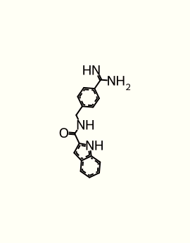 N=C(N)c1ccc(CNC(=O)c2cc3ccccc3[nH]2)cc1